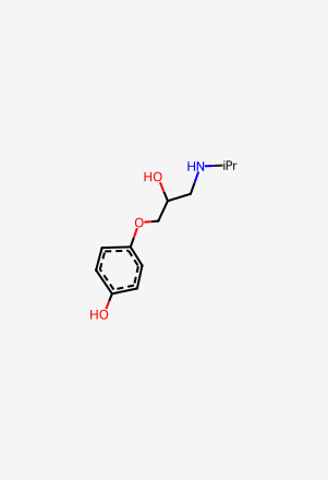 CC(C)NCC(O)COc1ccc(O)cc1